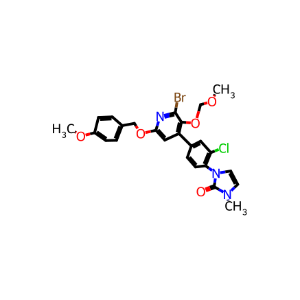 COCOc1c(-c2ccc(-n3ccn(C)c3=O)c(Cl)c2)cc(OCc2ccc(OC)cc2)nc1Br